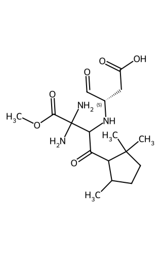 COC(=O)C(N)(N)C(N[C@H](C=O)CC(=O)O)C(=O)C1C(C)CCC1(C)C